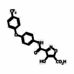 O=C(Nc1ccc(Oc2ccc(C(F)(F)F)cc2)cc1)c1noc(C(=O)O)c1O